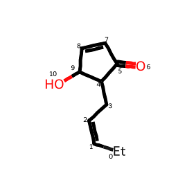 CC/C=C\CC1C(=O)C=CC1O